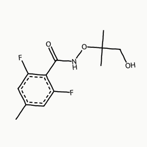 Cc1cc(F)c(C(=O)NOC(C)(C)CO)c(F)c1